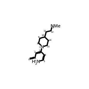 C=C/C=C(\C=C/N)N1CCC(CCNC)CC1